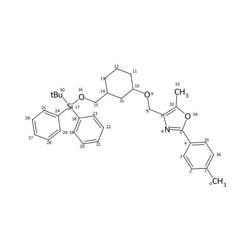 Cc1ccc(-c2nc(COC3CCCC(CO[Si](c4ccccc4)(c4ccccc4)C(C)(C)C)C3)c(C)o2)cc1